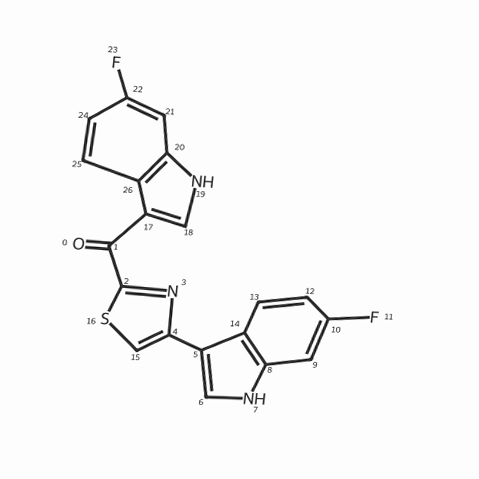 O=C(c1nc(-c2c[nH]c3cc(F)ccc23)cs1)c1c[nH]c2cc(F)ccc12